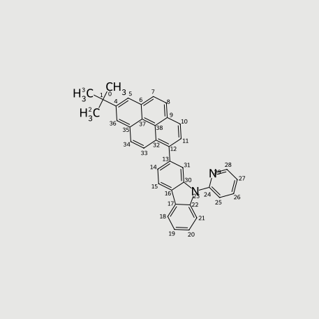 CC(C)(C)c1cc2ccc3ccc(-c4ccc5c6ccccc6n(-c6ccccn6)c5c4)c4ccc(c1)c2c34